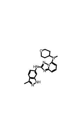 Cc1n[nH]c2cc(Nc3nc4cccc(N(C)C5CCOCC5)n4n3)ccc12